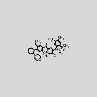 CCc1cc(Nc2ncc(Cl)c(Nc3cc(C)c(C)cc3P(C)(C)=O)n2)c(OC)cc1N1CCCCC1N1CCOCC1